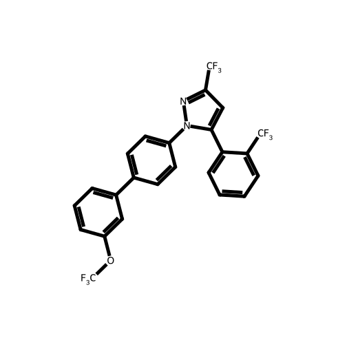 FC(F)(F)Oc1cccc(-c2ccc(-n3nc(C(F)(F)F)cc3-c3ccccc3C(F)(F)F)cc2)c1